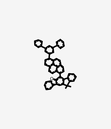 CC1(C)c2ccccc2-c2c1cc1c(oc3ccccc31)c2-c1ccc2ccc3c(-c4cc(-c5ccccc5)cc(-c5ccccc5)c4)ccc4ccc1c2c43